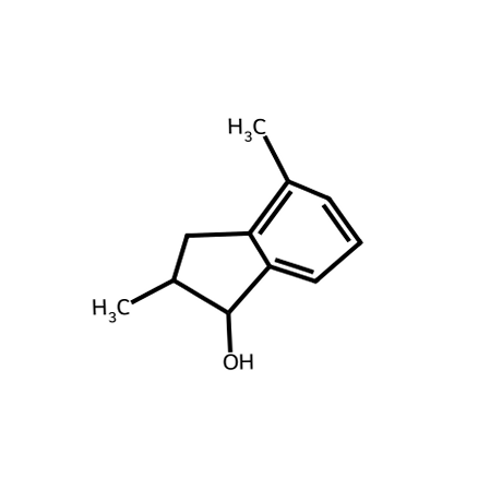 Cc1cccc2c1CC(C)C2O